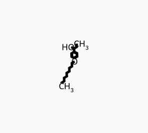 CCCCCCCCCCOc1ccc(C(O)CC)cc1